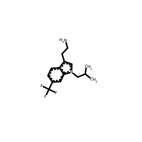 CC(C)Cn1cc(CCN)c2ccc(C(F)(F)F)cc21